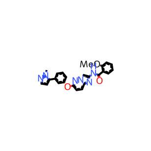 COc1ccccc1C(=O)Nc1cn2nc(Oc3cccc(-c4ccnn4C)c3)ccc2n1